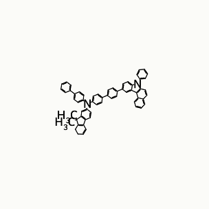 CC1(C)C2=C(C=CCC2)c2ccc(N(c3ccc(-c4ccccc4)cc3)c3ccc(-c4ccc(-c5ccc6c(c5)c5c7ccccc7ccc5n6-c5ccccc5)cc4)cc3)cc21